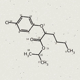 CCCCC(Oc1ccc(Cl)cc1)C(=O)OC(C)C